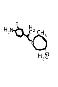 C=C(CN1CCC[C@@H](OC)CC=CC(C)C1)C1=CC(F)C(N)C=C1